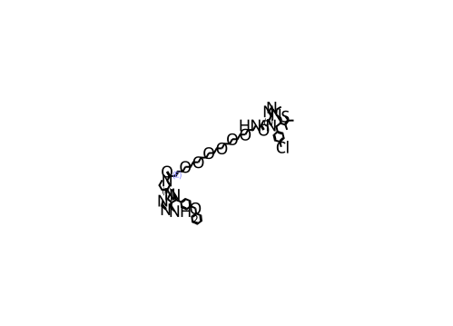 Cc1sc2c(c1C)C(c1ccc(Cl)cc1)=N[C@@H](CC(=O)NCCOCCOCCOCCOCCOCCOC/C=C/C(=O)N1CCC[C@@H](n3nc(-c4ccc(Oc5ccccc5)cc4)c4c(N)ncnc43)C1)c1nnc(C)n1-2